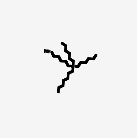 CCCCCCC[N+](CCCCCC)(CCCCCC)CCCCCC.[OH-]